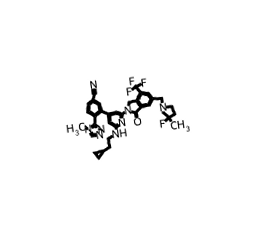 Cn1cnnc1-c1ccc(C#N)cc1-c1cc(NCCC2CC2)nc(N2Cc3c(cc(CN4CCC(C)(F)C4)cc3C(F)(F)F)C2=O)c1